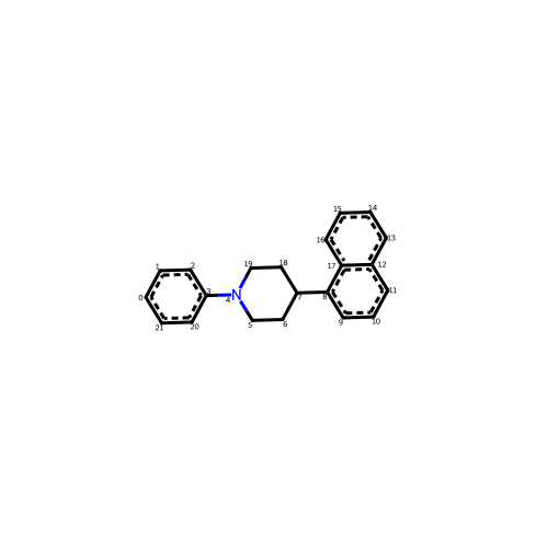 c1ccc(N2CCC(c3cccc4ccccc34)CC2)cc1